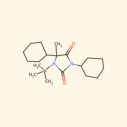 CC1(C2CCCCC2)C(=O)N(C2CCCCC2)C(=O)N1[Si](C)(C)C